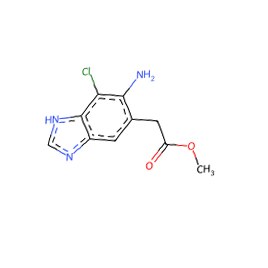 COC(=O)Cc1cc2nc[nH]c2c(Cl)c1N